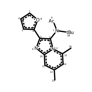 CC(=O)N(c1c(-c2ccco2)nc2cc(C)cc(C)n12)C(C)(C)C